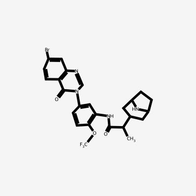 CC(C(=O)Nc1cc(-n2cnc3cc(Br)ccc3c2=O)ccc1OC(F)(F)F)C1CC2CCC(C1)N2